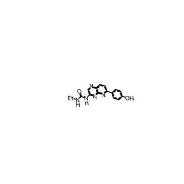 CCNC(=O)Nc1cnc2ccc(-c3ccc(O)cc3)nc2n1